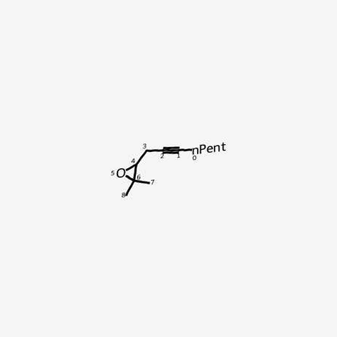 CCCCCC#CCC1OC1(C)C